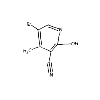 Cc1c(Br)cnc(O)c1C#N